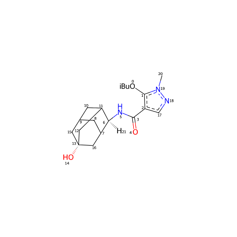 CC(C)COc1c(C(=O)N[C@H]2C3CC4CC2C[C@](O)(C4)C3)cnn1C